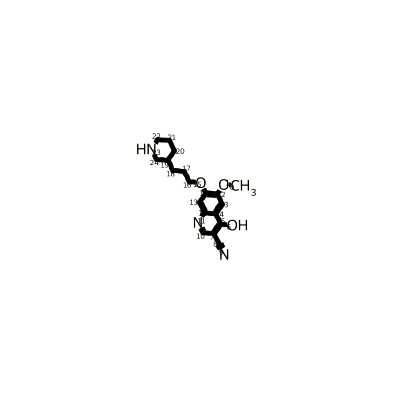 COc1cc2c(O)c(C#N)cnc2cc1OCCCC1CCCNC1